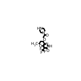 C[C@@H]1C[C@@H](OCC(=O)N2CCNCC2)c2n[nH]c(=O)c(C(F)(F)F)c2O1